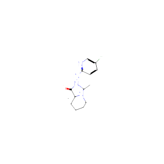 CC1N(Nc2ccc(F)cn2)C(=O)[C@@H]2CCCCN12